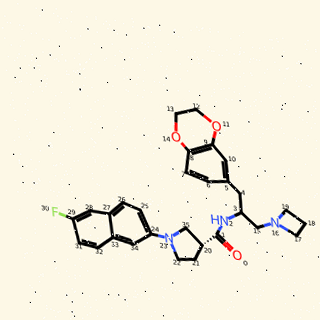 O=C(NC(Cc1ccc2c(c1)OCCO2)CN1CCC1)[C@@H]1CCN(c2ccc3cc(F)ccc3c2)C1